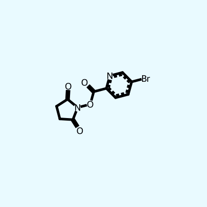 O=C(ON1C(=O)CCC1=O)c1ccc(Br)cn1